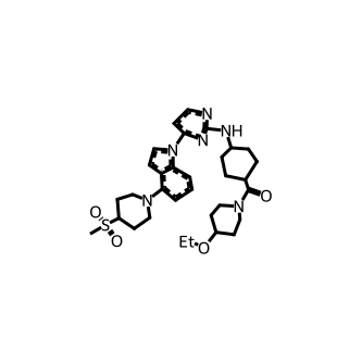 CCOC1CCN(C(=O)C2CCC(Nc3nccc(-n4ccc5c(N6CCC(S(C)(=O)=O)CC6)cccc54)n3)CC2)CC1